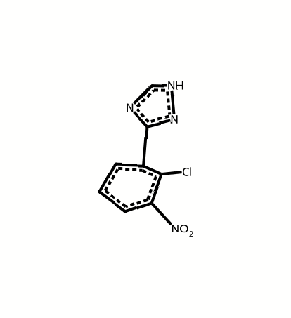 O=[N+]([O-])c1cccc(-c2nc[nH]n2)c1Cl